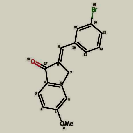 COc1ccc2c(c1)CC(=Cc1cccc(Br)c1)C2=O